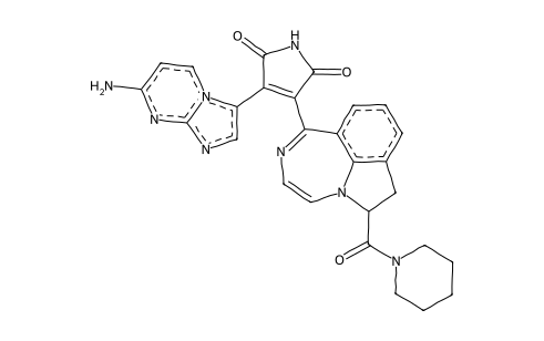 Nc1ccn2c(C3=C(C4=NC=CN5c6c(cccc64)CC5C(=O)N4CCCCC4)C(=O)NC3=O)cnc2n1